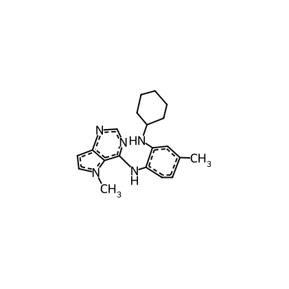 Cc1ccc(Nc2ncnc3ccn(C)c23)c(NC2CCCCC2)c1